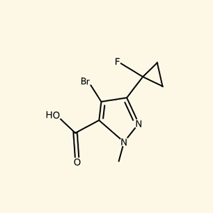 Cn1nc(C2(F)CC2)c(Br)c1C(=O)O